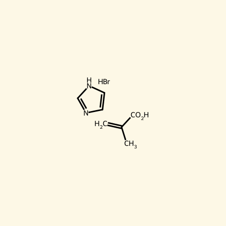 Br.C=C(C)C(=O)O.c1c[nH]cn1